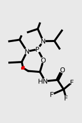 CCC(NC(=O)C(F)(F)F)OP(N(C(C)C)C(C)C)N(C(C)C)C(C)C